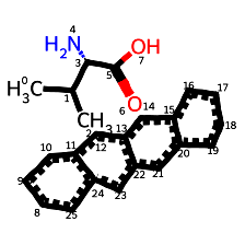 CC(C)[C@H](N)C(=O)O.c1ccc2cc3cc4ccccc4cc3cc2c1